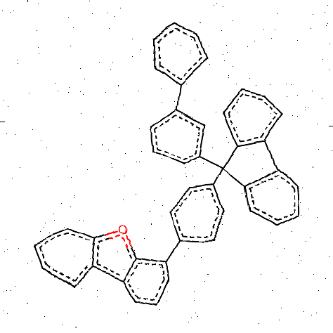 c1ccc(-c2cccc(C3(c4ccc(-c5cccc6c5oc5ccccc56)cc4)c4ccccc4-c4ccccc43)c2)cc1